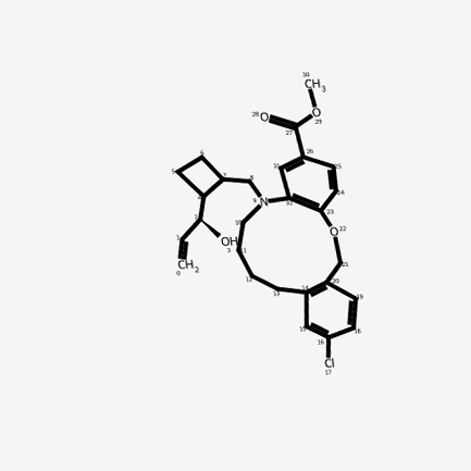 C=C[C@H](O)C1CCC1CN1CCCCc2cc(Cl)ccc2COc2ccc(C(=O)OC)cc21